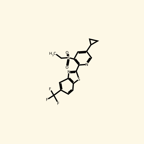 CCS(=O)(=O)c1cc(C2CC2)cnc1-c1nc2cc(C(F)(F)F)ccc2s1